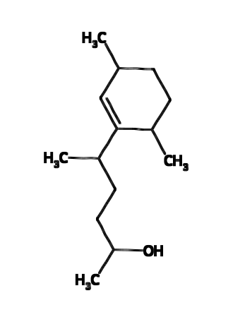 CC(O)CCC(C)C1=CC(C)CCC1C